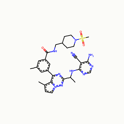 Cc1cc(C(=O)NCC2CCN(S(C)(=O)=O)CC2)cc(-c2nc(C(C)Nc3ncnc(N)c3C#N)nn3ccc(C)c23)c1